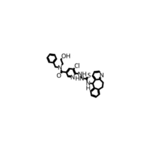 O=C(c1cnc(NNC(=S)NC2c3ccccc3CCc3ncccc32)c(Cl)c1)N(CCO)Cc1ccccc1